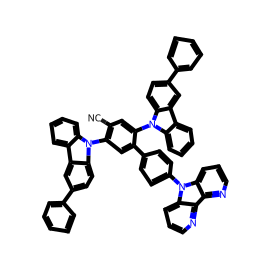 N#Cc1cc(-n2c3ccccc3c3cc(-c4ccccc4)ccc32)c(-c2ccc(-n3c4cccnc4c4ncccc43)cc2)cc1-n1c2ccccc2c2cc(-c3ccccc3)ccc21